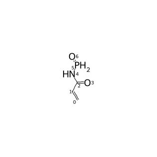 C=CC(=O)N[PH2]=O